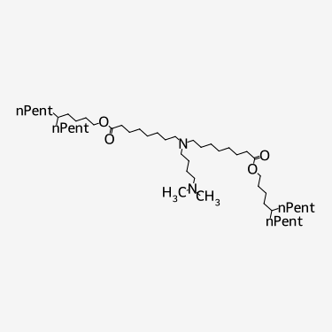 CCCCCC(CCCCC)CCCCOC(=O)CCCCCCCN(CCCCCCCC(=O)OCCCCC(CCCCC)CCCCC)CCCCN(C)C